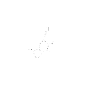 Cn1ccc2c(F)c(Br)c(C#N)cc21